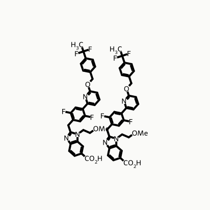 COCCn1c(Cc2cc(F)c(-c3cccc(OCc4ccc(C(C)(F)F)cc4)n3)cc2F)nc2ccc(C(=O)O)cc21.COCCn1c(Cc2cc(F)c(-c3cccc(OCc4ccc(C(C)(F)F)cc4)n3)cc2F)nc2ccc(C(=O)O)cc21